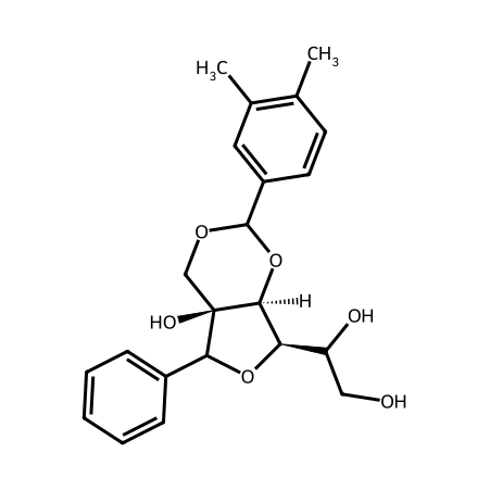 Cc1ccc(C2OC[C@@]3(O)C(c4ccccc4)O[C@H](C(O)CO)[C@@H]3O2)cc1C